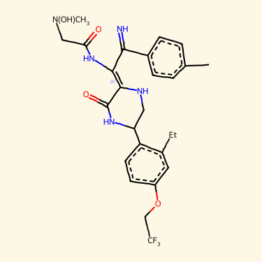 CCc1cc(OCC(F)(F)F)ccc1C1CN/C(=C(/NC(=O)CN(C)O)C(=N)c2ccc(C)cc2)C(=O)N1